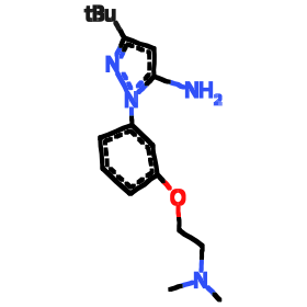 CN(C)CCOc1cccc(-n2nc(C(C)(C)C)cc2N)c1